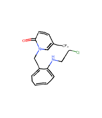 O=c1ccc(C(F)(F)F)cn1Cc1ccccc1NCCCl